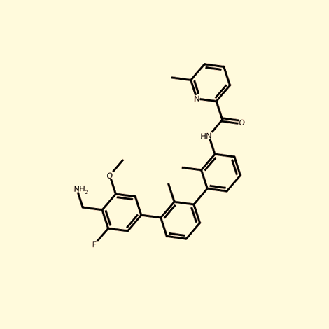 COc1cc(-c2cccc(-c3cccc(NC(=O)c4cccc(C)n4)c3C)c2C)cc(F)c1CN